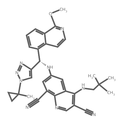 COc1nccc2c([C@H](Nc3cc(C#N)c4ncc(C#N)c(NCC(C)(C)C)c4c3)c3cn(C4(C)CC4)nn3)cccc12